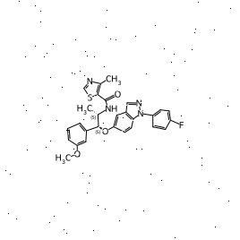 COc1cccc([C@H](Oc2ccc3c(cnn3-c3ccc(F)cc3)c2)[C@H](C)NC(=O)c2scnc2C)c1